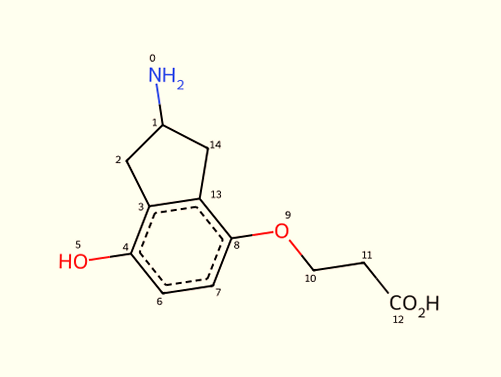 NC1Cc2c(O)ccc(OCCC(=O)O)c2C1